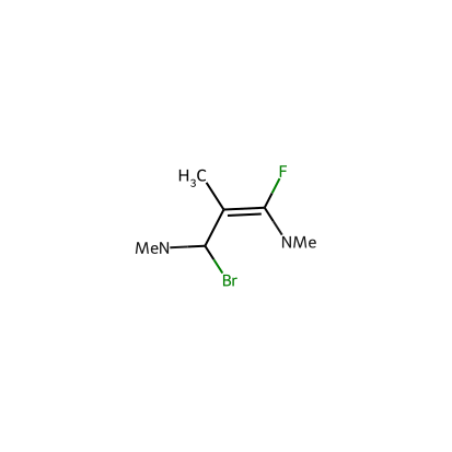 CN/C(F)=C(/C)C(Br)NC